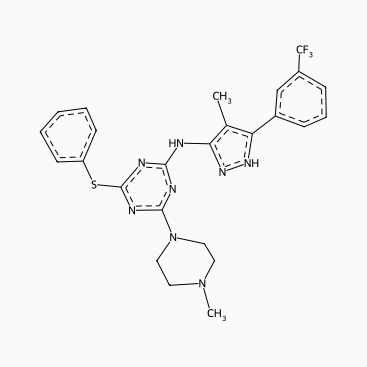 Cc1c(Nc2nc(Sc3ccccc3)nc(N3CCN(C)CC3)n2)n[nH]c1-c1cccc(C(F)(F)F)c1